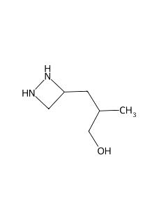 CC(CO)CC1CNN1